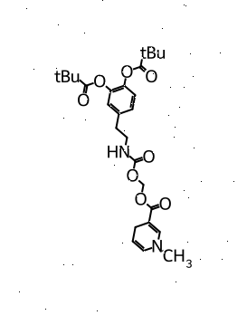 CN1C=CCC(C(=O)OCOC(=O)NCCc2ccc(OC(=O)C(C)(C)C)c(OC(=O)C(C)(C)C)c2)=C1